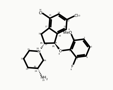 COc1cccc(F)c1O[C@@H]1c2cc(Cl)cc(Cl)c2C[C@H]1N1CCC[C@@H](N)C1